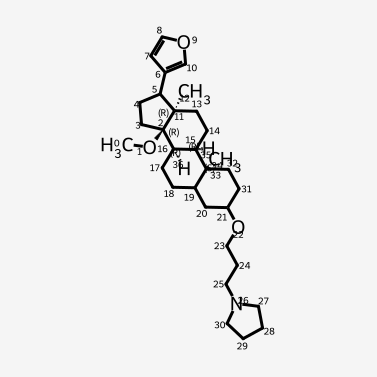 CO[C@@]12CCC(c3ccoc3)[C@@]1(C)CC[C@@H]1[C@H]2CCC2CC(OCCCN3CCCC3)CC[C@@]21C